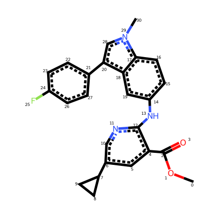 COC(=O)c1cc(C2CC2)cnc1Nc1ccc2c(c1)c(-c1ccc(F)cc1)cn2C